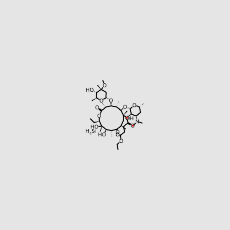 CCOC(=O)CCC(=O)O[C@H]1[C@H](O[C@@H]2[C@@H](C)[C@H](O[C@H]3C[C@@](C)(OC)[C@@H](O)[C@H](C)O3)[C@@H](C)C(=O)O[C@H](CC)[C@@](C)(O)[C@H](O)[C@@H](C)C(=O)[C@H](C)C[C@@]2(C)O)O[C@H](C)C[C@@H]1N(C)C.[SiH4]